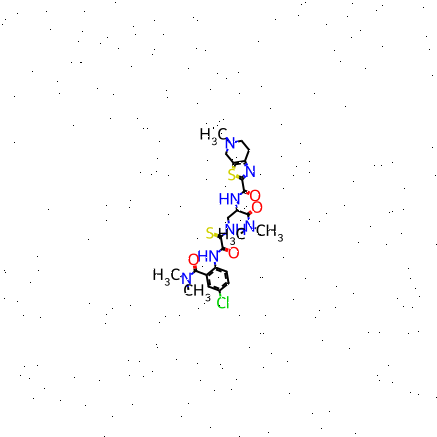 CN1CCc2nc(C(=O)NC(CNC(=S)C(=O)Nc3ccc(Cl)cc3C(=O)N(C)C)C(=O)N(C)C)sc2C1